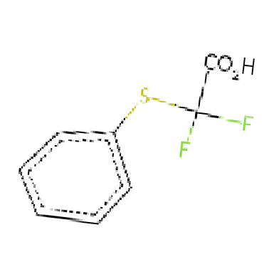 O=C(O)C(F)(F)Sc1ccccc1